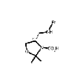 CCNC[C@H]1COC(C)(C)N1C(=O)O